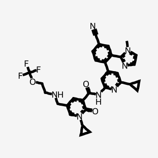 Cn1ccnc1-c1cc(C#N)ccc1-c1cc(NC(=O)c2cc(CNCCOC(F)(F)F)cn(C3CC3)c2=O)nc(C2CC2)c1